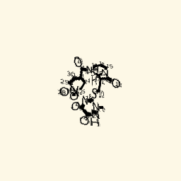 Cn1nc(O)c(=O)nc1SCC1C(=O)N2C=CCS[C@@H]12.NC(=O)C1CC[N+]([O-])([O-])CC1